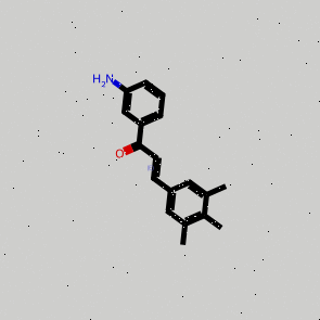 Cc1cc(/C=C/C(=O)c2cccc(N)c2)cc(C)c1C